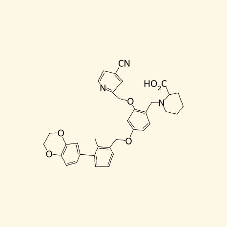 Cc1c(COc2ccc(CN3CCCCC3C(=O)O)c(OCc3cc(C#N)ccn3)c2)cccc1-c1ccc2c(c1)OCCO2